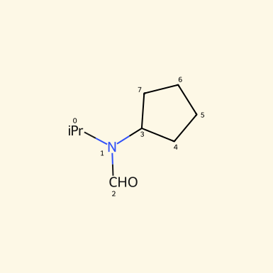 CC(C)N(C=O)C1CCCC1